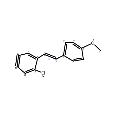 COc1ccc(/C=C/c2cc#ccc2Cl)cc1